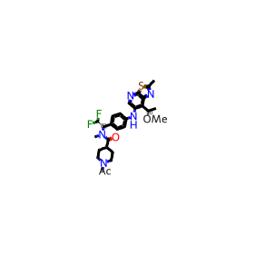 CO[C@@H](C)c1c(Nc2ccc([C@@H](C(F)F)N(C)C(=O)C3CCN(C(C)=O)CC3)cc2)cnc2sc(C)nc12